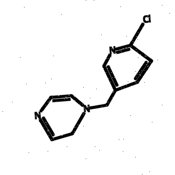 Clc1ccc(CN2C=CN=CC2)cn1